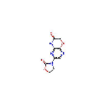 O=C1COc2ncc(N3CCOC3=O)nc2N1